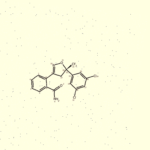 NC(=O)c1ccccc1C1=NO[C@@](c2cc(Cl)cc(Cl)c2)(C(F)(F)F)C1